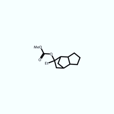 CCC1(OC(=O)OC)CC2CC1C1CCCC21